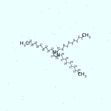 CCCCCCCCCCCC1N(CCCCCCCCCC)C=CN1CCCCCCCCCC